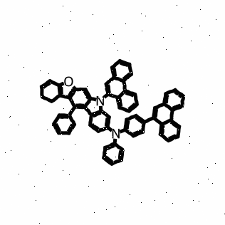 C1=Cc2oc3cc4c(c(-c5ccccc5)c3c2CC1)c1ccc(N(c2ccccc2)c2ccc(-c3cc5ccccc5c5ccccc35)cc2)cc1n4-c1cc2ccccc2c2ccccc12